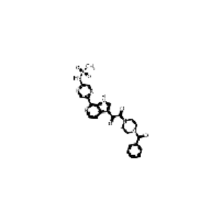 CS(=O)(=O)Nc1cnc(-c2nccc3c(C(=O)C(=O)N4CCN(C(=O)c5ccccc5)CC4)c[nH]c23)cn1